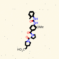 COc1cc(C(=O)N2CCC[C@@H]2C(=O)N2CCC(CC(=O)O)CC2)ccc1NC(=O)Nc1ccccc1C